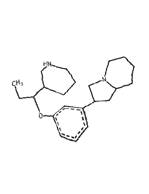 CCC(Oc1cccc(C2CC3CCCCN3C2)c1)C1CCCNC1